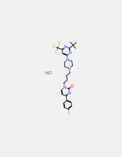 CC(C)(C)c1nc(N2CCN(CCCCn3ccc(-c4ccc(F)cc4)nc3=O)CC2)cc(C(F)(F)F)n1.Cl